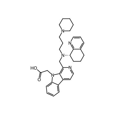 O=C(O)Cn1c2ccccc2c2ccnc(CN(CCCN3CCCCC3)[C@H]3CCCc4cccnc43)c21